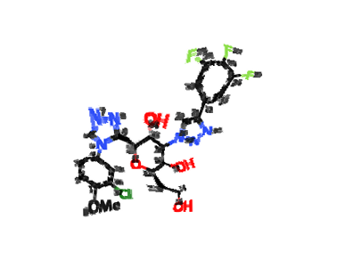 COc1ccc(-n2cnnc2[C@@H]2O[C@H](CCO)[C@H](O)[C@H](n3cc(-c4cc(F)c(F)c(F)c4)nn3)[C@H]2O)cc1Cl